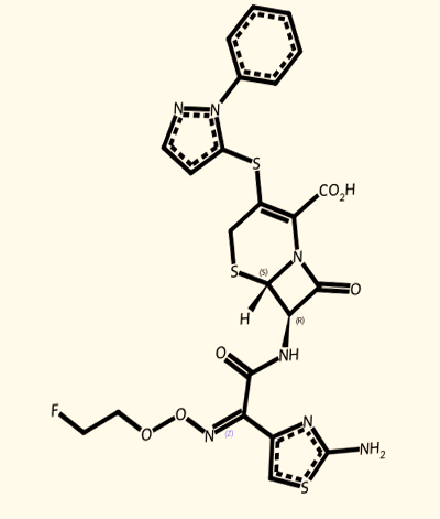 Nc1nc(/C(=N/OOCCF)C(=O)N[C@@H]2C(=O)N3C(C(=O)O)=C(Sc4ccnn4-c4ccccc4)CS[C@@H]23)cs1